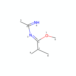 CO/C(=N\C(C)=N)C(C)C